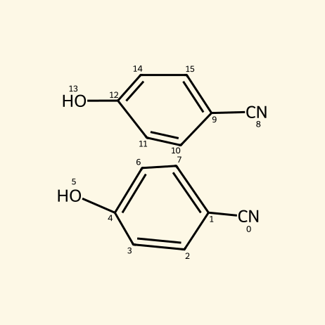 N#Cc1ccc(O)cc1.N#Cc1ccc(O)cc1